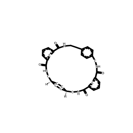 O=C1NCc2ccc(cc2)CNC(=O)c2cccc(c2)C(=O)NC[C@H]2CC[C@H](CC2)CNC(=O)c2cccc1c2